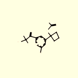 C=C(c1cc(C2(NC(C)=O)CCC2)cc(Cl)n1)C(F)(F)F